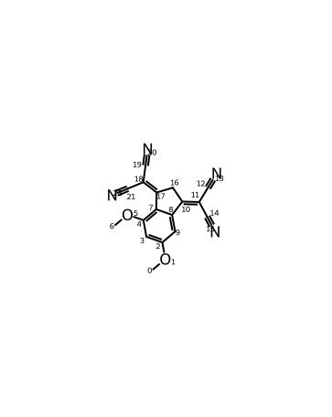 COc1cc(OC)c2c(c1)C(=C(C#N)C#N)CC2=C(C#N)C#N